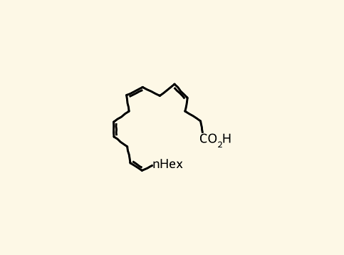 CCCCCC/C=C\C/C=C\C/C=C\C/C=C\CCC(=O)O